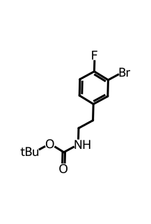 CC(C)(C)OC(=O)NCCc1ccc(F)c(Br)c1